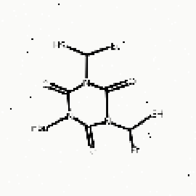 CCCCn1c(=O)n(C(S)CC)c(=O)n(C(S)CC)c1=O